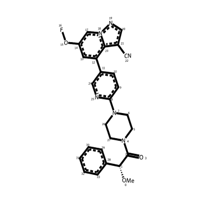 CO[C@@H](C(=O)N1CCN(c2ccc(-c3cc(OF)cn4ncc(C#N)c34)cn2)CC1)c1ccccc1